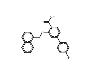 O=C(O)c1ccc(-c2ccc(Cl)cc2)cc1OCc1cccc2ccccc12